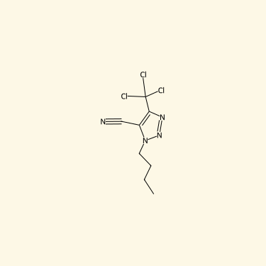 CCCCn1nnc(C(Cl)(Cl)Cl)c1C#N